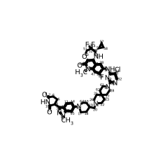 Cn1nc(C2CCC(=O)NC2=O)c2ccc(N3CCC(CN4CCC5(CC4)CCN(c4ncc(Cl)c(Nc6cc7c8c(c(=O)n(C)c7cc6F)OCC(F)(F)[C@H](C6CC6)N8)n4)CC5)CC3)cc21